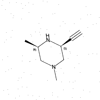 C#C[C@H]1CN(C)C[C@@H](C)N1